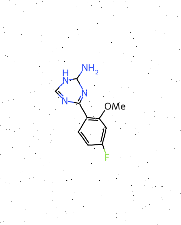 COc1cc(F)ccc1C1=NC(N)NC=N1